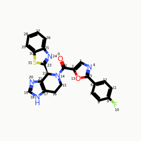 O=C(c1cnc(-c2ccc(F)cc2)o1)N1CCc2[nH]cnc2[C@H]1c1nc2ccccc2s1